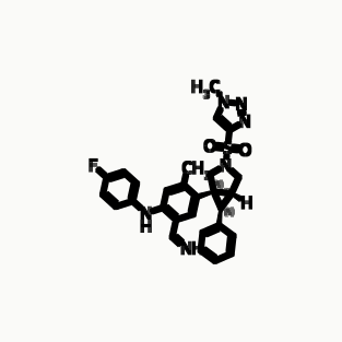 Cc1cc(Nc2ccc(F)cc2)c(C=N)cc1[C@@]12CN(S(=O)(=O)c3cn(C)nn3)C[C@@H]1[C@H]2c1ccccc1